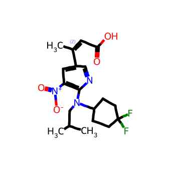 C/C(=C/C(=O)O)c1cnc(N(CC(C)C)C2CCC(F)(F)CC2)c([N+](=O)[O-])c1